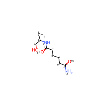 CC(CO)NC(=O)CCCCC(N)=O